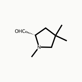 CN1CC(C)(C)C[C@H]1C=O